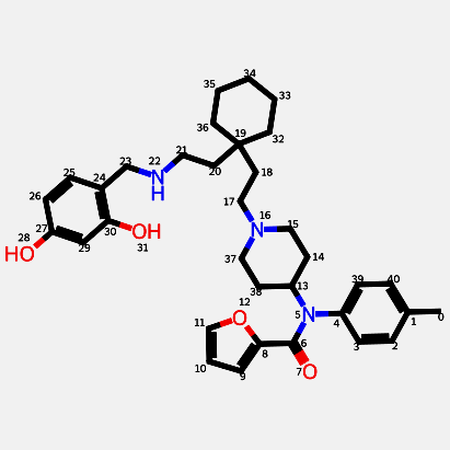 Cc1ccc(N(C(=O)c2ccco2)C2CCN(CCC3(CCNCc4ccc(O)cc4O)CCCCC3)CC2)cc1